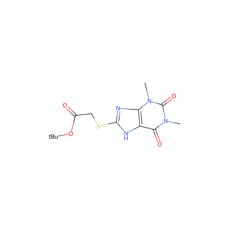 Cn1c(=O)c2[nH]c(SCC(=O)OC(C)(C)C)nc2n(C)c1=O